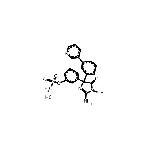 CN1C(=O)C(c2cccc(OS(=O)(=O)C(F)(F)F)c2)(c2cccc(-c3cccnc3)c2)N=C1N.Cl